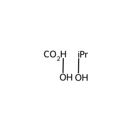 CC(C)O.O=C(O)O